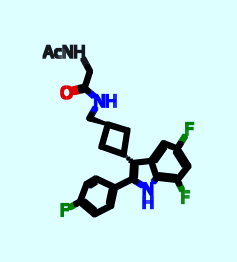 CC(=O)NCC(=O)NC[C@H]1C[C@H](c2c(-c3ccc(F)cc3)[nH]c3c(F)cc(F)cc32)C1